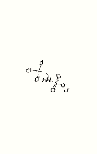 O=S(=O)([O-])NCC(Cl)(Cl)Cl.[Li+]